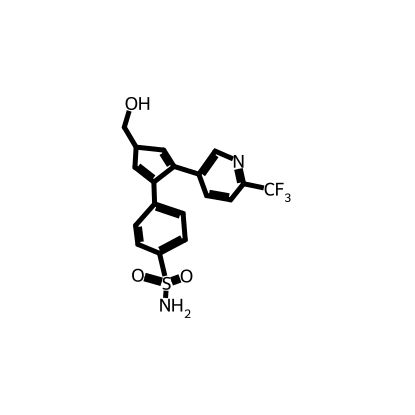 NS(=O)(=O)c1ccc(C2=CC(CO)C=C2c2ccc(C(F)(F)F)nc2)cc1